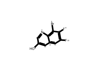 Oc1cnc2c(Br)c(F)c(F)cc2c1